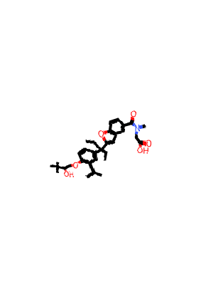 CCC(CC)(c1ccc(OCC(O)C(C)(C)C)c(C(C)C)c1)c1cc2cc(C(=O)N(C)CC(=O)O)ccc2o1